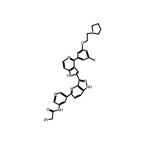 CC(C)CC(=O)Nc1cncc(-c2ccc3[nH]nc(-c4cc5c(-c6cc(F)cc(OCCN7CCCC7)c6)nccc5[nH]4)c3n2)c1